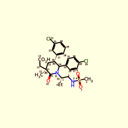 CC[C@@H](CNS(C)(=O)=O)N1C(=O)[C@@](C)(CC(=O)O)C[C@H](c2cccc(Cl)c2)C1c1ccc(Cl)cc1